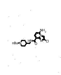 CCCCN1CCC(CNC(=O)c2ccc(N)n3cc(Cl)nc23)CC1